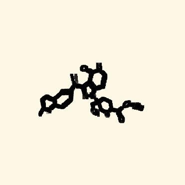 Cc1ccc2cc(Nc3nn(C4(CC#N)CCC(C(=O)OC(C)(C)C)OC4)c4cc[nH]c(=O)c34)ccc2n1